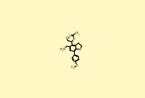 N#CCC(OC(=O)C(F)(F)F)c1c(CN)cc(-c2ccc(OC(F)(F)F)cc2)c2c1CCO2